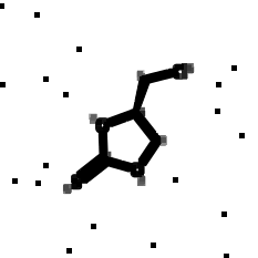 S=C1OC[C@H](CCl)O1